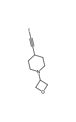 IC#CC1CCN(C2COC2)CC1